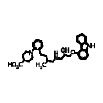 CC(CCc1ccccc1N1CCC(C(=O)O)CC1)CNC[C@H](O)COc1cccc2[nH]c3ccccc3c12